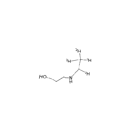 [2H]C(NCCO)C([2H])([2H])[2H]